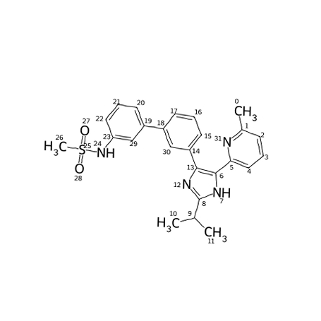 Cc1cccc(-c2[nH]c(C(C)C)nc2-c2cccc(-c3cccc(NS(C)(=O)=O)c3)c2)n1